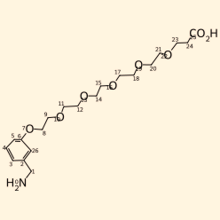 NCc1cccc(OCCOCCOCCOCCOCCOCCC(=O)O)c1